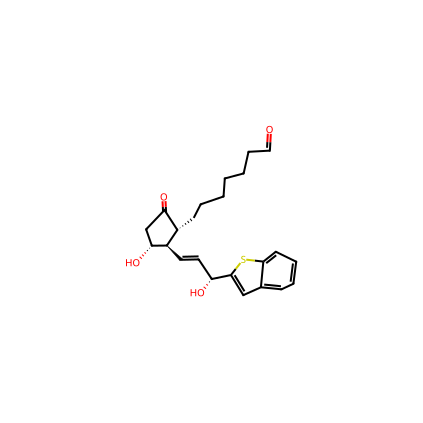 O=CCCCCCC[C@H]1C(=O)C[C@@H](O)[C@@H]1/C=C/[C@@H](O)c1cc2ccccc2s1